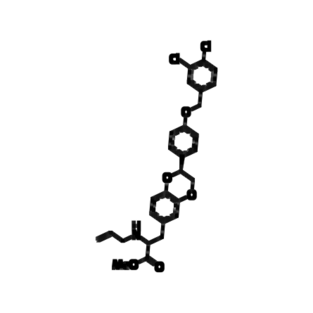 C=CCNC(Cc1ccc2c(c1)OC[C@H](c1ccc(OCc3ccc(Cl)c(Cl)c3)cc1)O2)C(=O)OC